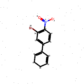 O=[N+]([O-])c1ccc(C2=CCCC=C2)cc1Br